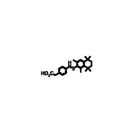 Cc1cc2c(c(C)c1SNc1ccc(CC(=O)O)cc1)C(C)(C)CCC2(C)C